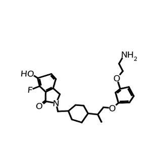 CC(COc1cccc(OCCN)c1)C1CCC(CN2Cc3ccc(O)c(F)c3C2=O)CC1